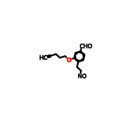 C#CCCCOc1cc(C=O)ccc1CCN=O